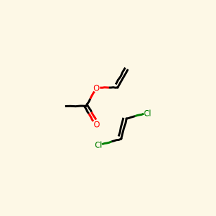 C=COC(C)=O.ClC=CCl